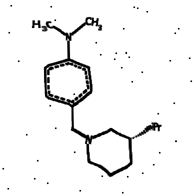 CC(C)[C@@H]1CCCN(Cc2ccc(N(C)C)cc2)C1